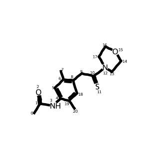 CC(=O)Nc1cc(C)c(CC(=S)N2CCOCC2)cc1C